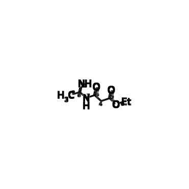 CCOC(=O)CC(=O)NC(C)=N